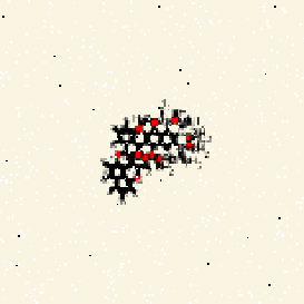 BBB(B)B(B(B)B)c1c(B(B(B)B)B(B)B)c(B(BB)B(B)B)c(B(B)B(B)B)c2c(B(B)BB)c(-c3c4c(C)c(C)c(C)c(C)c4c(C)c4c(-c5c(C)c(C)c(C)c6c(C)c(C)c(C)c(C)c56)c(C)c(C)c(C)c34)c(BB)c(B)c12